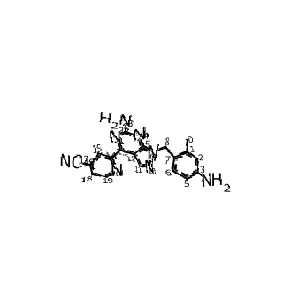 Cc1cc(N)ccc1Cn1ncc2c(-c3cc(C#N)ccn3)nc(N)nc21